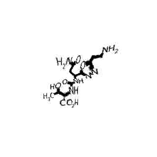 CC(O)[C@H](NC(=O)NC(CC(N)=O)c1nnc(CCN)o1)C(=O)O